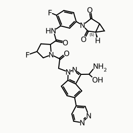 NC(O)c1nn(CC(=O)N2CC(F)CC2C(=O)Nc2cc(N3C(=O)C4C[C@@H]4C3=O)ccc2F)c2ccc(-c3ccnnc3)cc12